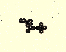 c1ccc(N(c2ccc(-c3ccc([Si](c4ccccc4)(c4ccccc4)c4ccccc4)cc3)cc2)c2ccc3c4c2ccc2cccc(c24)n3-c2ccc3ccccc3c2)cc1